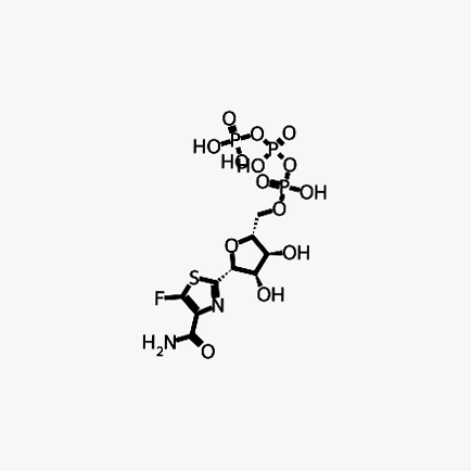 NC(=O)c1nc([C@@H]2O[C@H](COP(=O)(O)OP(=O)(O)OP(=O)(O)O)[C@@H](O)[C@H]2O)sc1F